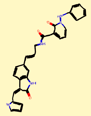 O=C1Nc2cc(C=CCNC(=O)c3cccn(Nc4ccccc4)c3=O)ccc2C1=Cc1ccc[nH]1